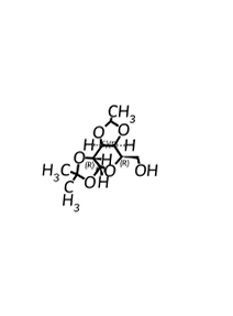 CC1O[C@H]2[C@@H](O1)[C@@H](CO)O[C@@H]1OC(C)(C)O[C@@H]12